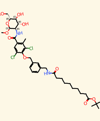 CO[C@H]1O[C@H](CO)[C@@H](O)[C@H](O)[C@H]1NC(=O)c1cc(Cl)c(OCc2cccc(CNC(=O)CCCCCCCCC(=O)OC(C)(C)C)c2)c(Cl)c1C